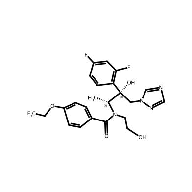 C[C@@H](N(CCO)C(=O)c1ccc(OCC(F)(F)F)cc1)[C@](O)(Cn1cncn1)c1ccc(F)cc1F